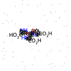 O=C(O)C(Cc1cccc(CC(=O)N(CCCOc2cccc(CC(C(=O)O)C3CCNC3)c2)Cc2cccc(CC(C(=O)O)C3CCNC3)c2)c1)C1CCNC1